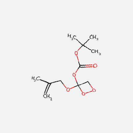 C=C(C)COC1(OC(=O)OC(C)(C)C)COO1